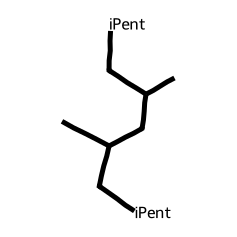 CCCC(C)CC(C)CC(C)CC(C)CCC